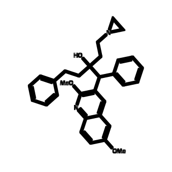 COc1ccc2nc(OC)c(C(c3ccccc3)C(O)(CCc3ccccc3)CCN3CC3)cc2c1